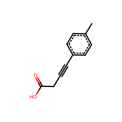 Cc1ccc(C#CCC(=O)O)cc1